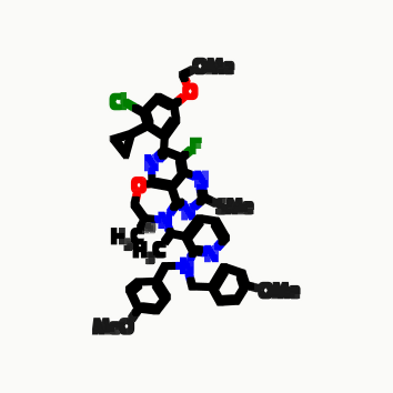 COCOc1cc(Cl)c(C2CC2)c(-c2nc3c4c(nc(SC)nc4c2F)N(C(C)c2cccnc2N(Cc2ccc(OC)cc2)Cc2ccc(OC)cc2)[C@@H](C)CO3)c1